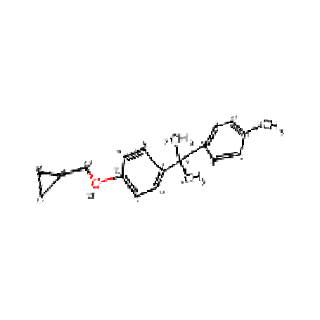 Cc1ccc(C(C)(C)c2ccc(OCC3CC3)cc2)cc1